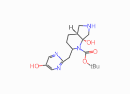 CC(C)(C)OC(=O)N1C(Cc2ncc(O)cn2)CC[C@@H]2CNC[C@@]21O